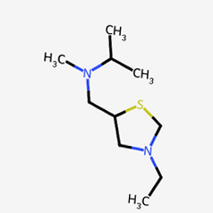 CCN1CSC(CN(C)C(C)C)C1